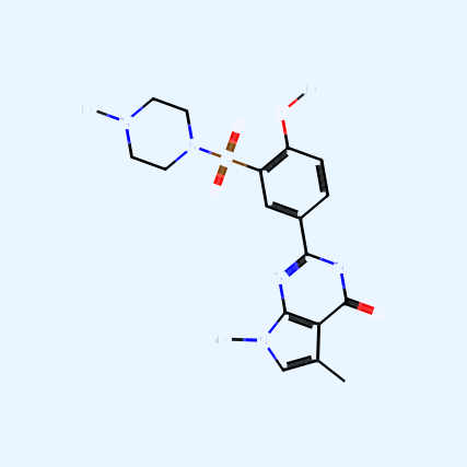 CCCn1cc(C)c2c(=O)[nH]c(-c3ccc(OCC)c(S(=O)(=O)N4CCN(CC)CC4)c3)nc21.Cl.Cl